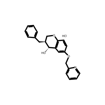 Cl.O[C@H]1c2cc(OCc3ccccn3)ccc2OC[C@@H]1Cc1ccccc1